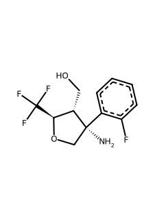 N[C@]1(c2ccccc2F)CO[C@@H](C(F)(F)F)[C@@H]1CO